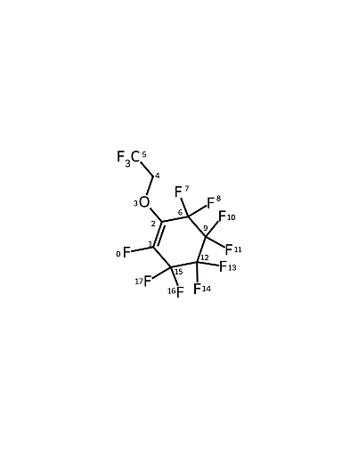 FC1=C(OCC(F)(F)F)C(F)(F)C(F)(F)C(F)(F)C1(F)F